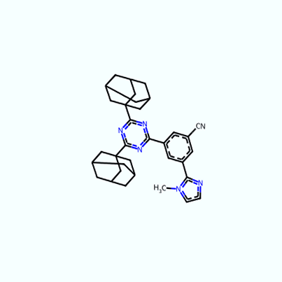 Cn1ccnc1-c1cc(C#N)cc(-c2nc(C34CC5CC(CC(C5)C3)C4)nc(C34CC5CC(CC(C5)C3)C4)n2)c1